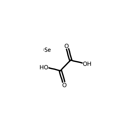 O=C(O)C(=O)O.[Se]